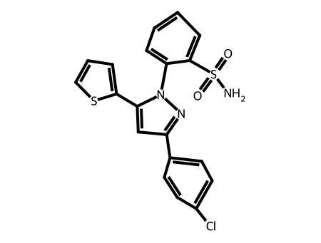 NS(=O)(=O)c1ccccc1-n1nc(-c2ccc(Cl)cc2)cc1-c1cccs1